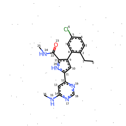 CCc1ccc(Cl)cc1-c1cc(-c2cc(NC)ncn2)[nH]c1C(=O)NC